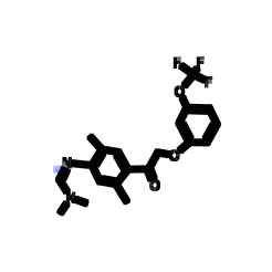 Cc1cc(C(=O)COc2cccc(OC(F)(F)F)c2)c(C)cc1/N=C\N(C)C